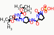 CC(C)(C)OC(=O)/N=C(\NC(=O)OC(C)(C)C)N1CCC(ONC(=O)[C@@H]2CCC3CN2C(=O)N3OS(=O)(=O)O)CC1